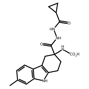 Cc1ccc2c3c([nH]c2c1)CCC(NC(=O)O)(C(=O)NNC(=O)C1CC1)C3